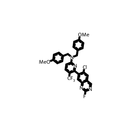 COc1ccc(CN(Cc2ccc(OC)cc2)c2ccc(C(F)(F)F)c(-c3cc4nc(F)ncc4cc3Cl)n2)cc1